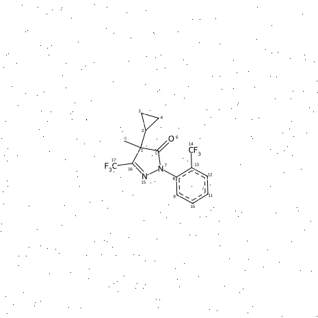 CC1(C2CC2)C(=O)N(c2ccccc2C(F)(F)F)N=C1C(F)(F)F